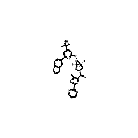 Cc1nc(-c2ncccn2)sc1C(=O)N1C[C@@H]2[C@H](C1)[C@@H]2Oc1cc(C(C)(C)N)cc(-c2ccc3c(c2)CCO3)n1